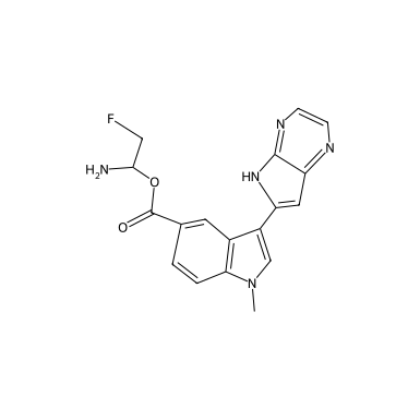 Cn1cc(-c2cc3nccnc3[nH]2)c2cc(C(=O)OC(N)CF)ccc21